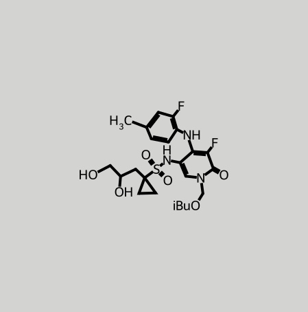 Cc1ccc(Nc2c(NS(=O)(=O)C3(CC(O)CO)CC3)cn(COCC(C)C)c(=O)c2F)c(F)c1